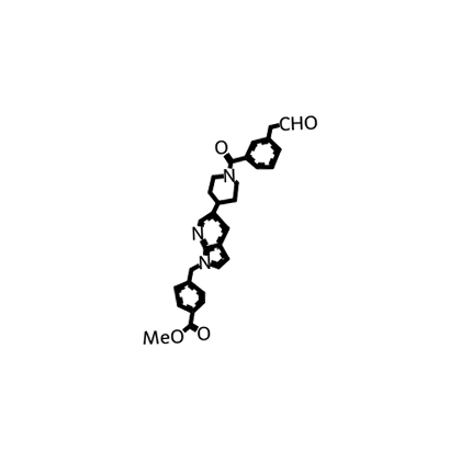 COC(=O)c1ccc(Cn2ccc3cc(C4CCN(C(=O)c5cccc(CC=O)c5)CC4)cnc32)cc1